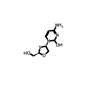 NC1=NC(O)N([C@H]2CO[C@@H](CO)S2)C=C1